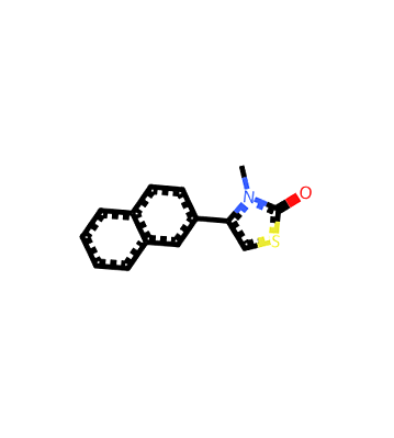 Cn1c(-c2ccc3ccccc3c2)csc1=O